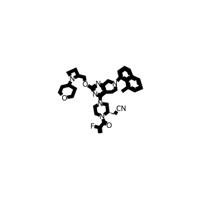 C=C(F)C(=O)N1CCN(c2nc(OCC3CCN3C3CCOCC3)nc3c2CCN(c2cccc4cccc(C)c24)C3)C[C@@H]1CC#N